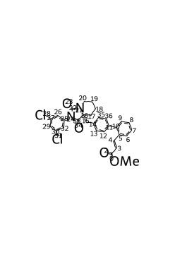 COC(=O)/C=C/c1ccccc1-c1ccc(CC23CCCCN2C(=O)N(c2cc(Cl)cc(Cl)c2)C3=O)cc1